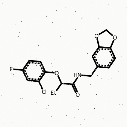 CCC(Oc1ccc(F)cc1Cl)C(=O)NCc1ccc2c(c1)OCO2